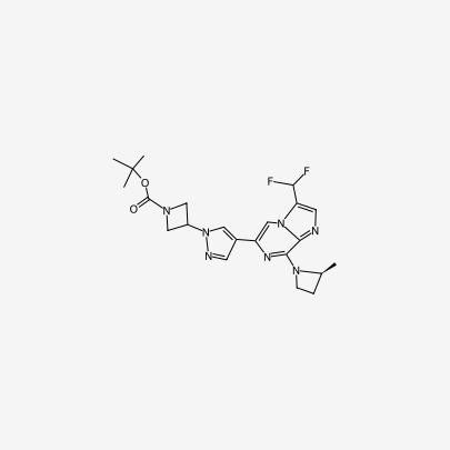 C[C@H]1CCN1c1nc(-c2cnn(C3CN(C(=O)OC(C)(C)C)C3)c2)cn2c(C(F)F)cnc12